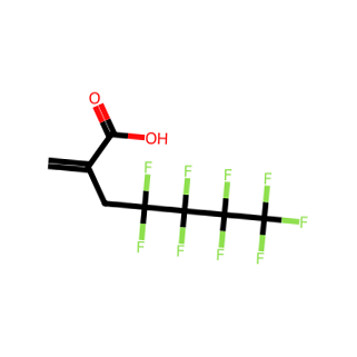 C=C(CC(F)(F)C(F)(F)C(F)(F)C(F)(F)F)C(=O)O